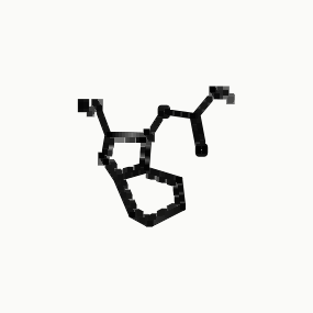 NC(=O)On1c(N)nc2ccccc21